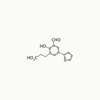 O=Cc1cc(-c2cccs2)cc(CCC(=O)O)c1O